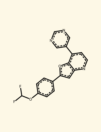 FC(F)Oc1ccc(-c2cc3nccc(-c4cncnc4)c3o2)cc1